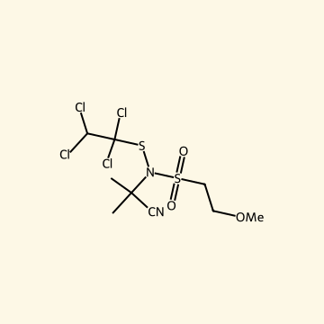 COCCS(=O)(=O)N(SC(Cl)(Cl)C(Cl)Cl)C(C)(C)C#N